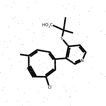 C/C1=C/C=C(c2cnccc2SC(C)(C)C(=O)O)\C=C(\Cl)C#C1